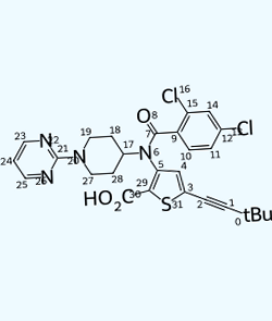 CC(C)(C)C#Cc1cc(N(C(=O)c2ccc(Cl)cc2Cl)C2CCN(c3ncccn3)CC2)c(C(=O)O)s1